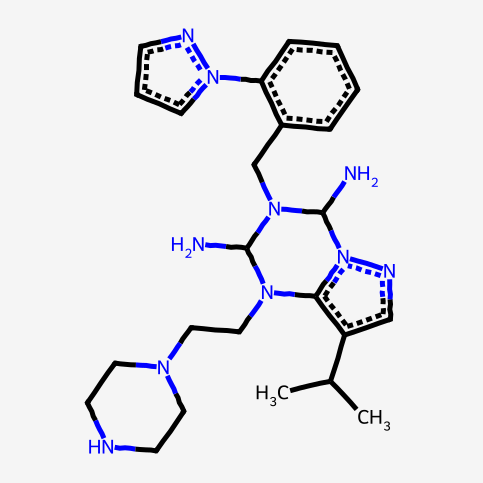 CC(C)c1cnn2c1N(CCN1CCNCC1)C(N)N(Cc1ccccc1-n1cccn1)C2N